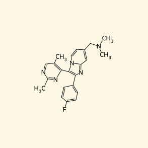 Cc1ncc(C)c(-c2c(-c3ccc(F)cc3)nc3cc(CN(C)C)ccn23)n1